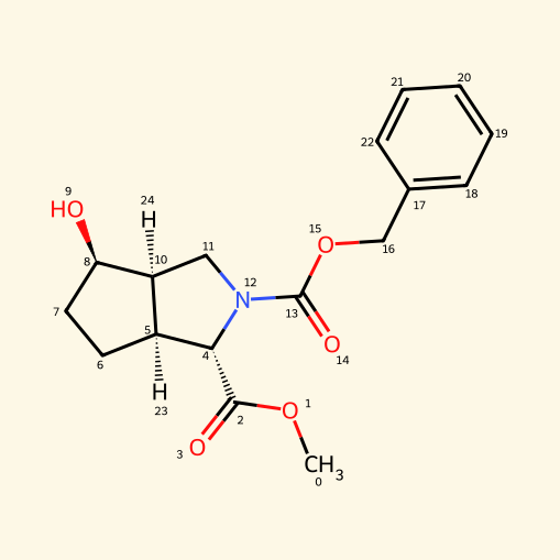 COC(=O)[C@@H]1[C@H]2CC[C@@H](O)[C@H]2CN1C(=O)OCc1ccccc1